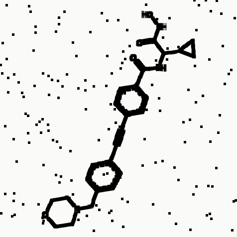 O=C(NC(C(=O)NO)C1CC1)c1ccc(C#Cc2ccc(CN3CCOCC3)cc2)cc1